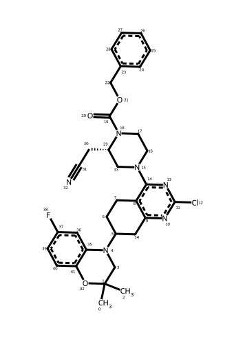 CC1(C)CN(C2CCc3c(nc(Cl)nc3N3CCN(C(=O)OCc4ccccc4)[C@@H](CC#N)C3)C2)c2cc(F)ccc2O1